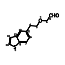 O=CCOCCc1ccc2sccc2c1